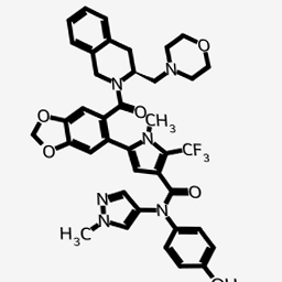 Cn1cc(N(C(=O)c2cc(-c3cc4c(cc3C(=O)N3Cc5ccccc5C[C@H]3CN3CCOCC3)OCO4)n(C)c2C(F)(F)F)c2ccc(O)cc2)cn1